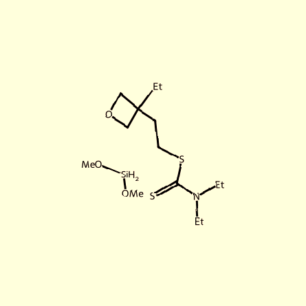 CCN(CC)C(=S)SCCC1(CC)COC1.CO[SiH2]OC